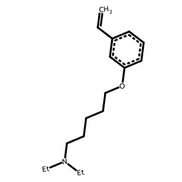 C=Cc1cccc(OCCCCCN(CC)CC)c1